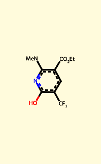 CCOC(=O)c1cc(C(F)(F)F)c(O)nc1NC